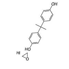 C1CO1.CC(C)(c1ccc(O)cc1)c1ccc(O)cc1.I